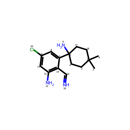 CC1(C)CCC(N)(c2cc(Cl)cc(N)c2C=N)CC1